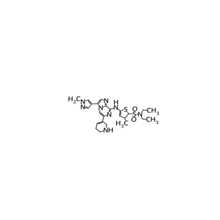 CCN(CC)S(=O)(=O)C1SC(Nc2nc(C3=CCCNC3)cn3c(-c4cnn(C)c4)cnc23)=CC1C